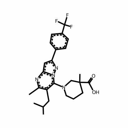 Cc1nc2cc(-c3ccc(C(F)(F)F)cc3)nn2c(N2CCCC(C)(C(=O)O)C2)c1CC(C)C